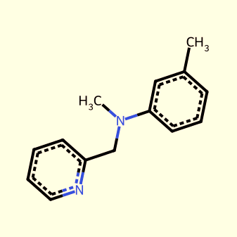 Cc1cccc(N(C)Cc2ccccn2)c1